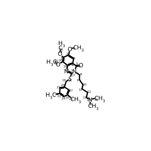 COc1cc2c(=O)n(CCCCCCN(C)C)c(SCc3cc(C)cc(C)c3)nc2c(OC)c1OC